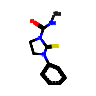 CC(C)(C)NC(=O)N1CCN(c2ccccc2)C1=S